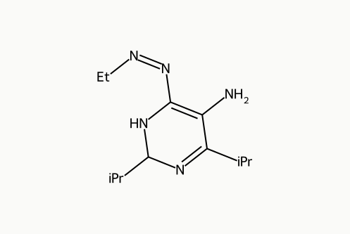 CC/N=N\C1=C(N)C(C(C)C)=NC(C(C)C)N1